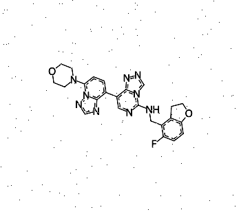 Fc1ccc2c(c1CNc1ncc(-c3ccc(N4CCOCC4)n4ncnc34)c3nncn13)CCO2